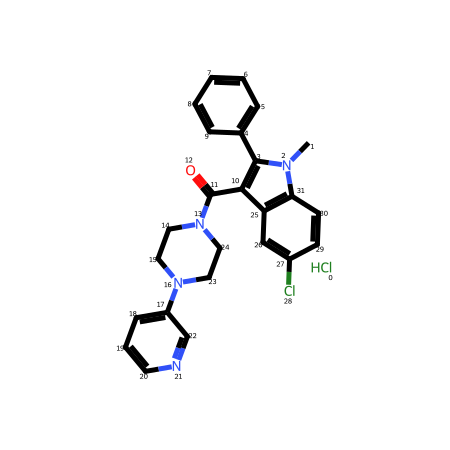 Cl.Cn1c(-c2ccccc2)c(C(=O)N2CCN(c3cccnc3)CC2)c2cc(Cl)ccc21